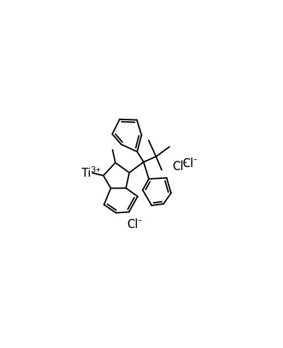 CC1[CH]([Ti+3])C2C=CC=CC2C1C(c1ccccc1)(c1ccccc1)C(C)(C)C.[Cl-].[Cl-].[Cl-]